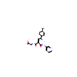 O=C(NCC(O)C(F)(F)F)c1cc(-c2ccc(C(F)F)cc2)nn(-c2cccnc2)c1=O